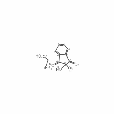 NCC(=O)O.O=C1c2ccccc2C(=O)C1(O)O